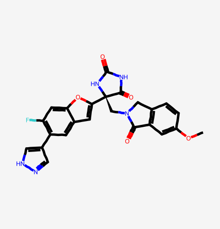 COc1ccc2c(c1)C(=O)N(C[C@@]1(c3cc4cc(-c5cn[nH]c5)c(F)cc4o3)NC(=O)NC1=O)C2